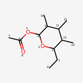 CCC1OC(OC(C)=O)C(C)C(C)C1C